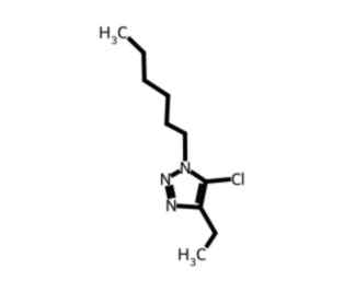 CCCCCCn1nnc(CC)c1Cl